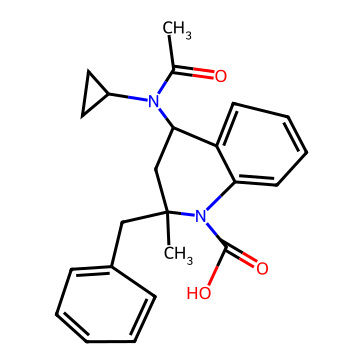 CC(=O)N(C1CC1)C1CC(C)(Cc2ccccc2)N(C(=O)O)c2ccccc21